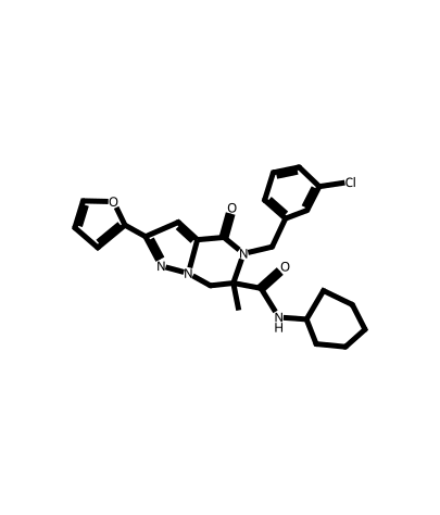 CC1(C(=O)NC2CCCCC2)Cn2nc(-c3ccco3)cc2C(=O)N1Cc1cccc(Cl)c1